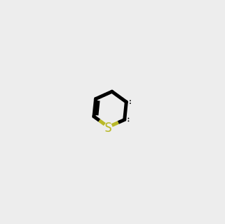 [C]1[C]SC=CC1